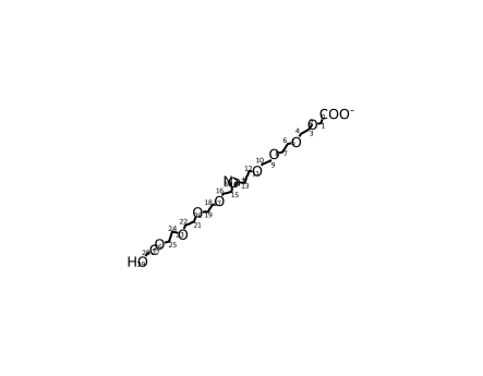 O=C([O-])COCCOCCOCCOCCOCCOCCOCCOCCOCCO.[Na+]